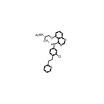 CC(=O)N[C@@H](C)COc1cccc2ncnc(Nc3ccc(CCc4ccccn4)c(Cl)c3)c12